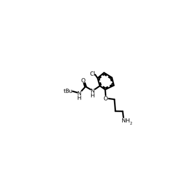 CC(C)(C)NC(=O)Nc1c(Cl)cccc1OCCCN